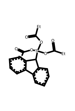 CCC(=O)[O][Ti]([O]C(=O)CC)([O]C(=O)CC)[CH]1c2ccccc2-c2ccccc21